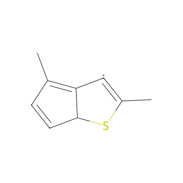 CC1=[C]C2=C(C)C=CC2S1